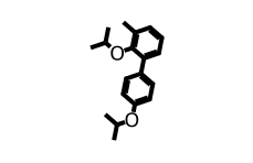 Cc1cccc(-c2ccc(OC(C)C)cc2)c1OC(C)C